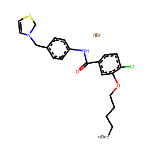 Br.CCCCCCCCCCCCCCOc1cc(C(=O)Nc2ccc(CN3C=CSC3)cc2)ccc1Cl